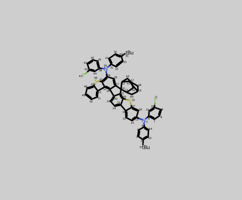 CC(C)(C)c1ccc(N(c2cccc(F)c2)c2ccc3c(c2)sc2c4c(ccc23)-c2c(cc(N(c3ccc(C(C)(C)C)cc3)c3cccc(F)c3)c3sc5ccccc5c23)C42C3CC4CC(C3)CC2C4)cc1